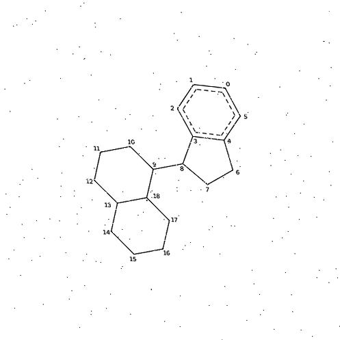 c1ccc2c(c1)CCC2C1CCCC2CCCC[C]21